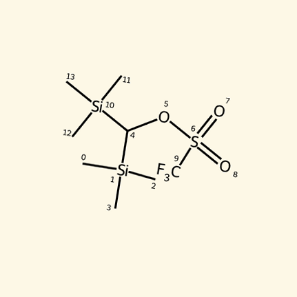 C[Si](C)(C)C(OS(=O)(=O)C(F)(F)F)[Si](C)(C)C